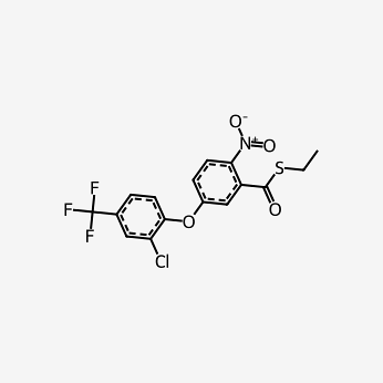 CCSC(=O)c1cc(Oc2ccc(C(F)(F)F)cc2Cl)ccc1[N+](=O)[O-]